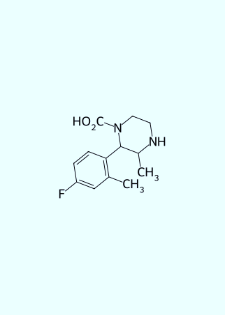 Cc1cc(F)ccc1C1C(C)NCCN1C(=O)O